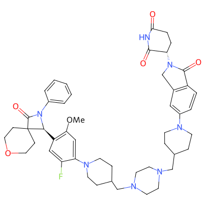 COc1cc(N2CCC(CN3CCN(CC4CCN(c5ccc6c(c5)CN([C@H]5CCC(=O)NC5=O)C6=O)CC4)CC3)CC2)c(F)cc1[C@@H]1N(c2ccccc2)C(=O)C12CCOCC2